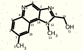 Cc1ccc2ncc3nc(CO)n(C)c3c2c1